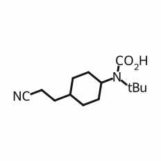 CC(C)(C)N(C(=O)O)C1CCC(CCC#N)CC1